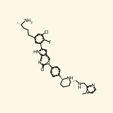 C[C@H](N)CCCc1cc(Cl)c(F)c(-c2cc3cn(-c4ccc([C@@H]5CCC[C@@H](CNCc6nccn6C)N5)cc4)c(=O)nc3[nH]2)c1